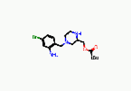 CC(C)(C)C(=O)OCC1CN(Cc2ccc(Br)cc2N)CCN1